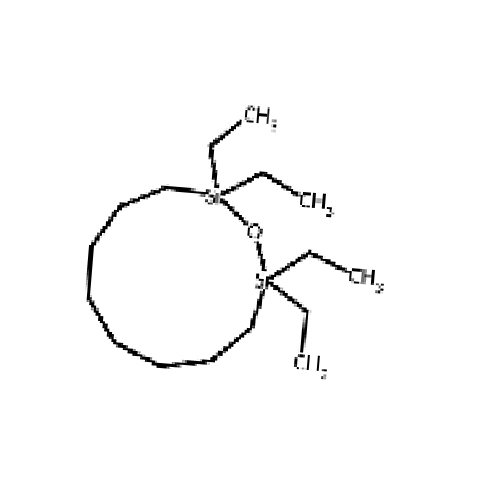 CC[Si]1(CC)CCCCCCCC[Si](CC)(CC)O1